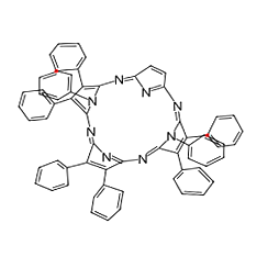 C1=Cc2nc1nc1c(-c3ccccc3)c(-c3ccccc3)c(nc3nc(nc4c(-c5ccccc5)c(-c5ccccc5)c(n2)n4-c2ccccc2)C(c2ccccc2)=C3c2ccccc2)n1-c1ccccc1